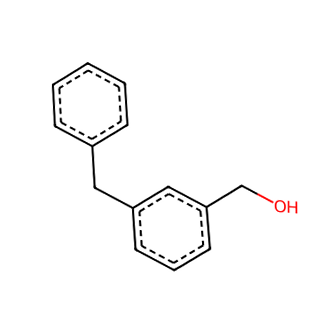 OCc1cccc(Cc2ccccc2)c1